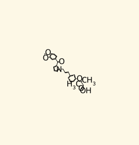 CC(C)(COO)Oc1cccc(/C=C/Cn2cccc2C(=O)c2ccc3c(c2)OCO3)c1